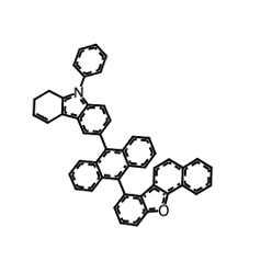 C1=Cc2c(n(-c3ccccc3)c3ccc(-c4c5ccccc5c(-c5cccc6oc7c8ccccc8ccc7c56)c5ccccc45)cc23)CC1